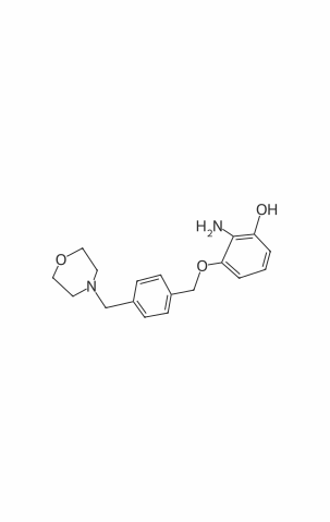 Nc1c(O)cccc1OCc1ccc(CN2CCOCC2)cc1